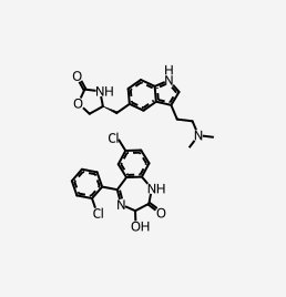 CN(C)CCc1c[nH]c2ccc(C[C@H]3COC(=O)N3)cc12.O=C1Nc2ccc(Cl)cc2C(c2ccccc2Cl)=NC1O